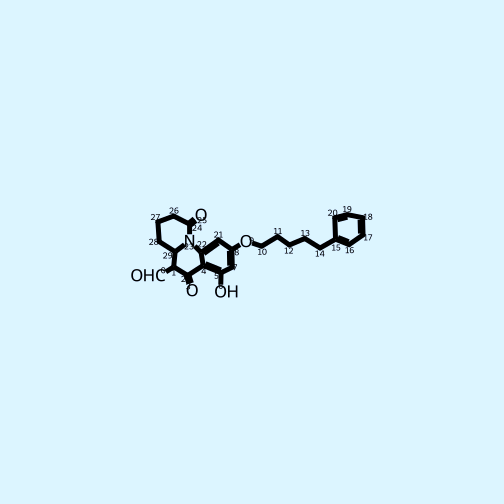 O=CC1C(=O)c2c(O)cc(OCCCCCc3ccccc3)cc2N2C(=O)CCCC12